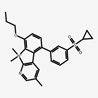 CCCOc1ccc(-c2cccc(S(=O)(=O)C3CC3)c2)c2c1[N+](C)(C)c1ncc(C)cc1-2